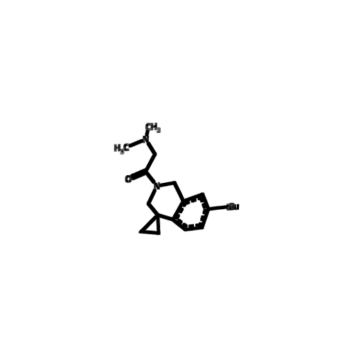 CN(C)CC(=O)N1Cc2cc(C(C)(C)C)ccc2C2(CC2)C1